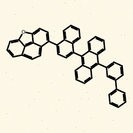 c1ccc(-c2cccc(-c3c4ccccc4c(-c4ccc(-c5ccc6oc7cccc8ccc5c6c87)c5ccccc45)c4ccccc34)c2)cc1